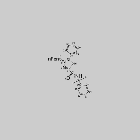 CCCCCN1N=C(C(=O)NC(C)(C)c2ccccc2)CC1c1ccccc1